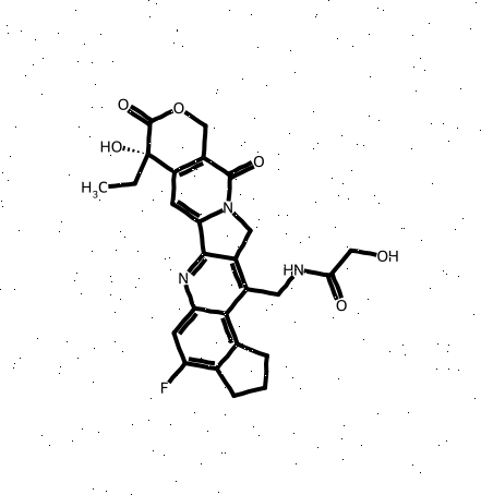 CC[C@@]1(O)C(=O)OCc2c1cc1n(c2=O)Cc2c-1nc1cc(F)c3c(c1c2CNC(=O)CO)CCC3